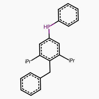 CC(C)c1cc(Pc2ccccc2)cc(C(C)C)c1Cc1ccccc1